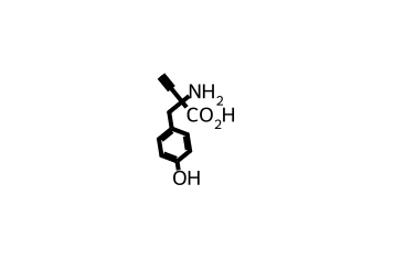 C#CC(N)(Cc1ccc(O)cc1)C(=O)O